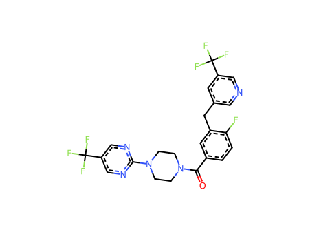 O=C(c1ccc(F)c(Cc2cncc(C(F)(F)F)c2)c1)N1CCN(c2ncc(C(F)(F)F)cn2)CC1